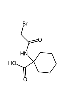 O=C(CBr)NC1(C(=O)O)CCCCC1